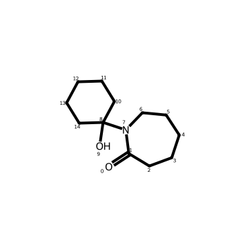 O=C1CCCCCN1C1(O)CCCCC1